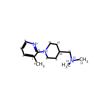 Cc1cccnc1N1CCC(CN(C)C)CC1